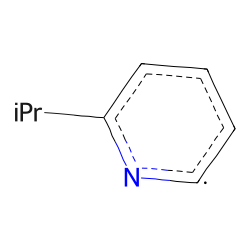 CC(C)c1ccc[c]n1